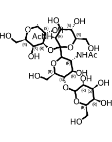 CC(=O)N[C@@H]1[C@@H](O)[C@H](O)[C@@H](CO)OC1(O[C@H]1[C@@H](O)[C@@H](CO)O[CH][C@@H]1O)C1O[C@H](CO)[C@@H](OC2O[C@H](CO)[C@H](O)[C@H](O)[C@H]2O)[C@H](O)[C@H]1NC(C)=O